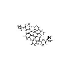 c1ccc(C2(c3ccccc3)c3cc(-c4cccc(-c5ncco5)c4)c4ccccc4c3-c3c2cc(-c2cccc(-c4ncco4)c2)c2ccccc32)cc1